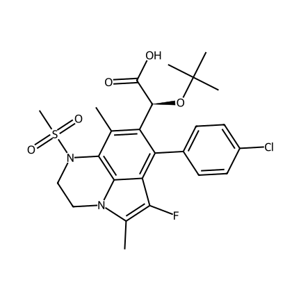 Cc1c([C@H](OC(C)(C)C)C(=O)O)c(-c2ccc(Cl)cc2)c2c(F)c(C)n3c2c1N(S(C)(=O)=O)CC3